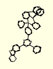 C1=Cc2oc3ccc(-c4nc(-c5ccccc5)nc(-c5ccc(C6(c7ccccc7)c7ccccc7C7(c8ccccc8)c8ccccc8-c8cccc6c87)cc5)n4)cc3c2CC1